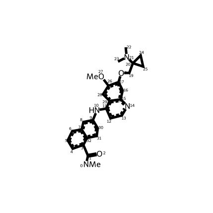 CNC(=O)c1cccc2cc(Nc3ccnc4cc(OCC5(N(C)C)CC5)c(OC)cc34)ccc12